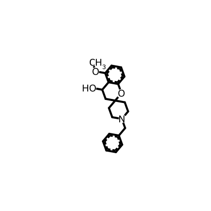 COc1cccc2c1C(O)CC1(CCN(Cc3ccccc3)CC1)O2